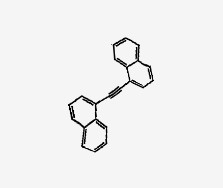 C(#Cc1cccc2ccccc12)c1cccc2cc[c]cc12